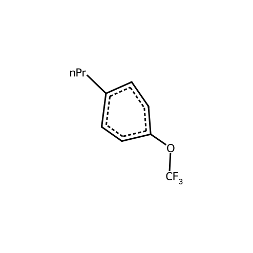 [CH2]CCc1ccc(OC(F)(F)F)cc1